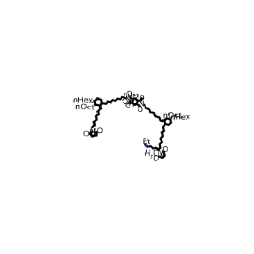 CC/C=C\CCCC(C)(CCCCCCCCC1CCC(CCCCCC)C(CCCCCCCC)C1CCCCCCCCn1c(=O)c2cc3c(=O)n(C(C)(CCCCCC)CCCCCCCCC4CCC(CCCCCC)C(CCCCCCCC)C4CCCCCCCCN4C(=O)C=CC4=O)c(=O)c3cc2c1=O)N1C(=O)C=CC1=O